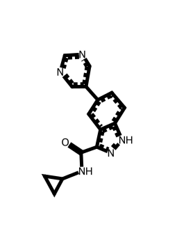 O=C(NC1CC1)c1n[nH]c2ccc(-c3cncnc3)cc12